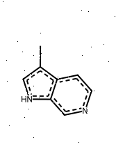 Cc1c[nH]c2cn[c]cc12